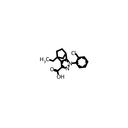 CCC12CCC(C1)c1c2c(C(=O)O)nn1-c1ccccc1Cl